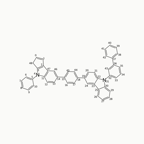 C1=Cc2c(n(-c3ccccc3)c3ccc(-c4ccc(-c5ccc6c(c5)c5ccccc5n6-c5cccc(-c6ccccc6)c5)cc4)cc23)C1